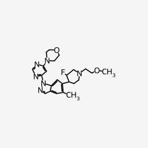 COCCN1CCC(c2cc3c(cnn3-c3cc(N4CCOCC4)ncn3)cc2C)C(F)C1